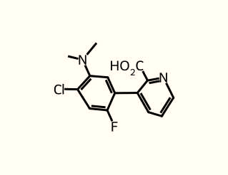 CN(C)c1cc(-c2cccnc2C(=O)O)c(F)cc1Cl